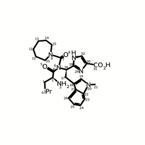 CC(C)C[C@H](N)C(=O)N(C(=O)N1CCCCCC1)[C@H](Cc1cn(C)c2ccccc12)c1nc(C(=O)O)c[nH]1